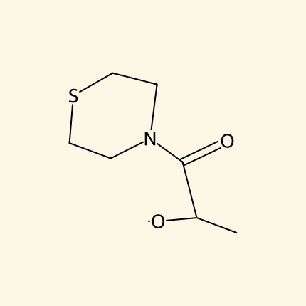 CC([O])C(=O)N1CCSCC1